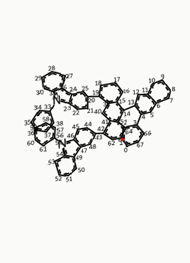 c1ccc(-c2cc3ccccc3cc2-c2c3cccc(-c4ccc5c(c4)c4ccccc4n5-c4ccccc4)c3cc3c(-c4ccc5c(c4)c4ccccc4n5-c4ccccc4)cccc23)cc1